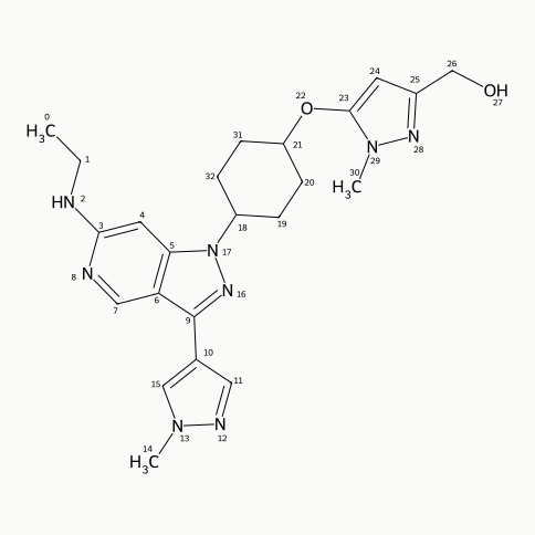 CCNc1cc2c(cn1)c(-c1cnn(C)c1)nn2C1CCC(Oc2cc(CO)nn2C)CC1